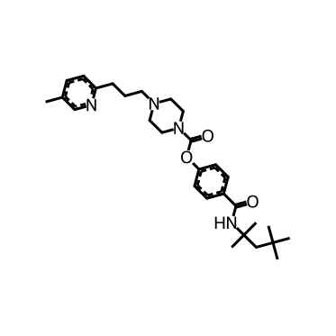 Cc1ccc(CCCN2CCN(C(=O)Oc3ccc(C(=O)NC(C)(C)CC(C)(C)C)cc3)CC2)nc1